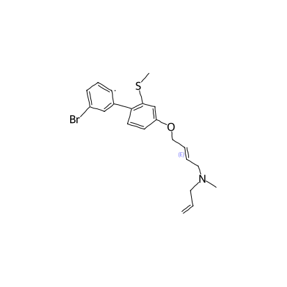 C=CCN(C)C/C=C/COc1ccc(-c2[c]ccc(Br)c2)c(SC)c1